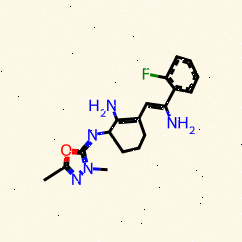 Cc1nn(C)/c(=N\C2CCCC(/C=C(\N)c3ccccc3F)=C2N)o1